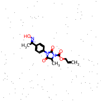 C=CCOC(=O)N1C(=O)N(c2ccc(/C(C)=N/O)cc2)C(=O)C1C